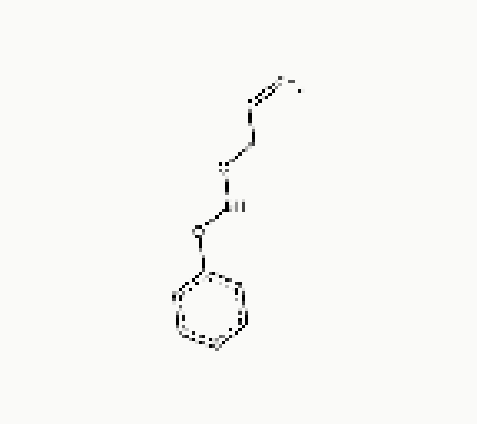 C=CCOBOc1ccccc1